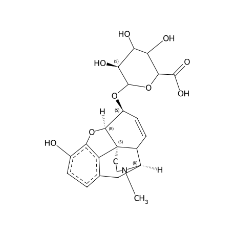 CN1CC[C@]23c4c5ccc(O)c4O[C@H]2[C@@H](OC2OC(C(=O)O)C(O)C(O)[C@@H]2O)C=CC3[C@H]1C5